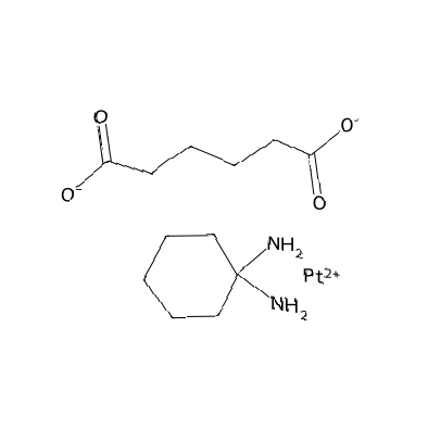 NC1(N)CCCCC1.O=C([O-])CCCCC(=O)[O-].[Pt+2]